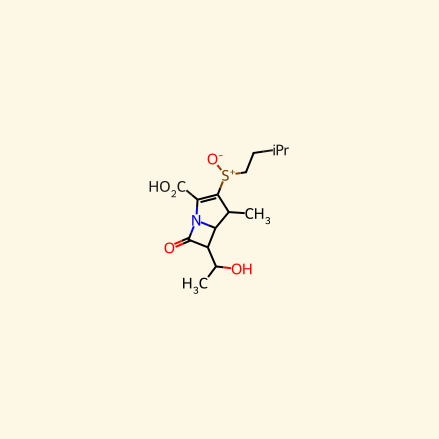 CC(C)CC[S+]([O-])C1=C(C(=O)O)N2C(=O)C(C(C)O)C2C1C